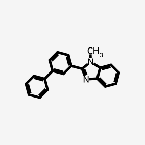 Cn1c(-c2cccc(-c3ccccc3)c2)nc2ccccc21